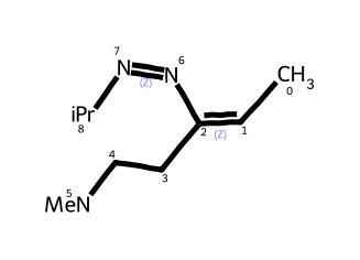 C/C=C(CCNC)\N=N/C(C)C